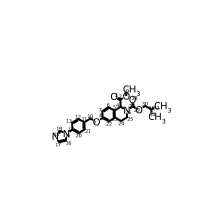 COC(=O)C1c2ccc(OCc3ccc(-n4ccnc4)cc3)cc2CCN1C(=O)OCC(C)C